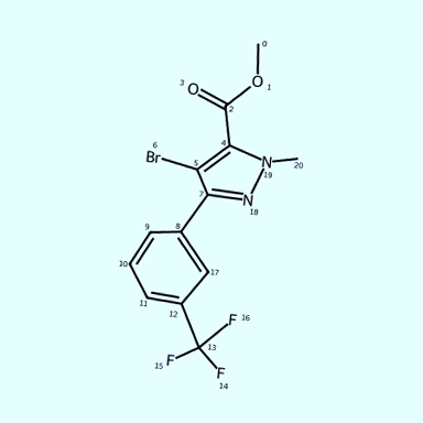 COC(=O)c1c(Br)c(-c2cccc(C(F)(F)F)c2)nn1C